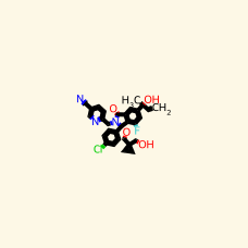 C=CC(C)(O)c1cc(F)c2c(c1)C(=O)N(Cc1ccc(C#N)cn1)[C@@]2(OCC1(CO)CC1)c1ccc(Cl)cc1